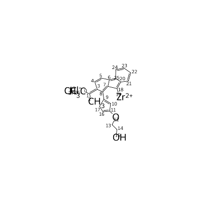 CC(C)=c1ccc2c(c1C1=CC(OCCO)=CC1)[C]([Zr+2])=c1ccccc1=2.[Cl-].[Cl-]